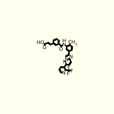 Cc1ccc(-c2cn3nc(-c4cccnc4C(F)(F)F)ccc3n2)cc1NC(=O)c1cccc(/C=C/C(=O)O)c1